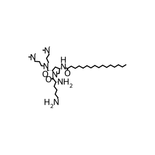 CCCCCCCCCCCCCCCC(=O)N[C@H]1C[C@@H](C(=O)N(CCCN(C)C)CCCN(C)C)N(C(=O)[C@H](N)CCCCN)C1